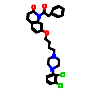 O=C(Cc1ccccc1)n1c(=O)ccc2ccc(OCCCCN3CCN(c4cccc(Cl)c4Cl)CC3)cc21